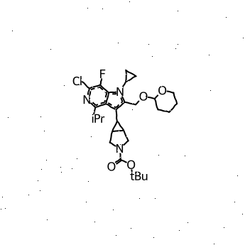 CC(C)c1nc(Cl)c(F)c2c1c(C1C3CN(C(=O)OC(C)(C)C)CC31)c(COC1CCCCO1)n2C1CC1